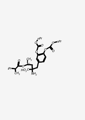 CCCOC(=O)Oc1ccc(CC(N)(C[C@H](C)OC(=O)C(C)C(C)C)C(=O)O)cc1OC(=O)OCCC